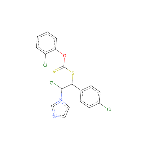 S=C(Oc1ccccc1Cl)SC(c1ccc(Cl)cc1)C(Cl)n1ccnc1